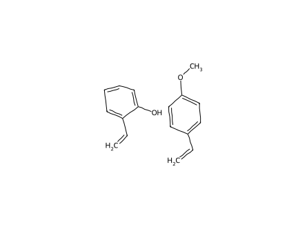 C=Cc1ccc(OC)cc1.C=Cc1ccccc1O